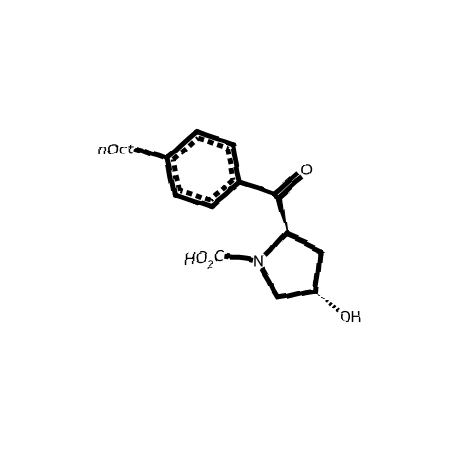 CCCCCCCCc1ccc(C(=O)[C@H]2C[C@H](O)CN2C(=O)O)cc1